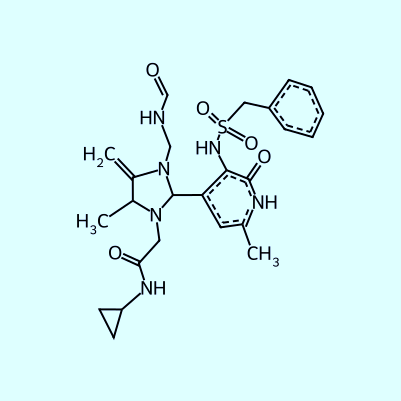 C=C1C(C)N(CC(=O)NC2CC2)C(c2cc(C)[nH]c(=O)c2NS(=O)(=O)Cc2ccccc2)N1CNC=O